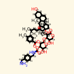 Cc1ccc(C(=O)OC2C(OC3C(O)COC(O[C@H]4C[C@H]5[C@@H]6CC=C7C[C@@H](O)CC[C@]7(C)C6CC[C@]5(C)[C@@]4(O)[C@H](C)C(=O)CCC(C)C)C3C)OCC(O)C2OC(=O)NCc2ccc(CN)cc2)cc1